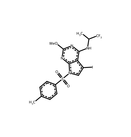 COc1nc(NC(C)C(F)(F)F)c2c(I)cn(S(=O)(=O)c3ccc(C)cc3)c2n1